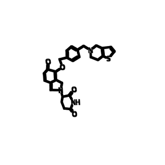 O=C1CCC(N2C=C3C=CC(=O)C(OCc4ccc(CN5CCc6sccc6C5)cc4)=C3C2)C(=O)N1